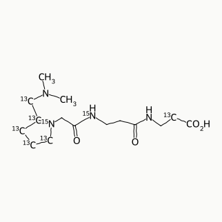 CN(C)[13CH2][13CH]1[13CH2][13CH2][13CH2][15N]1CC(=O)[15NH]CCC(=O)NC[13CH2][13C](=O)O